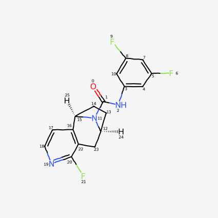 O=C(Nc1cc(F)cc(F)c1)N1[C@H]2CC[C@@H]1c1ccnc(F)c1C2